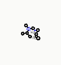 CN(c1cccc(-c2nc(-c3ccccc3)nc(-c3cc(-c4ccccc4)cc(-c4ccccc4)c3)n2)c1)c1ccccc1-c1ccc2c(c1)C1=C(CC=CC=C1)C2(C)C